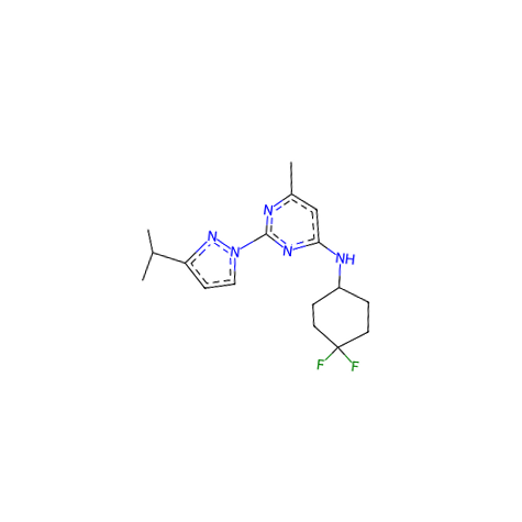 Cc1cc(NC2CCC(F)(F)CC2)nc(-n2ccc(C(C)C)n2)n1